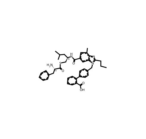 CCCc1nc2c(C)cc(C(=O)N[C@@H](CSC(=O)[C@@H](N)Cc3ccccc3)CC(C)C)cc2n1Cc1ccc(-c2ccccc2C(=O)O)cc1